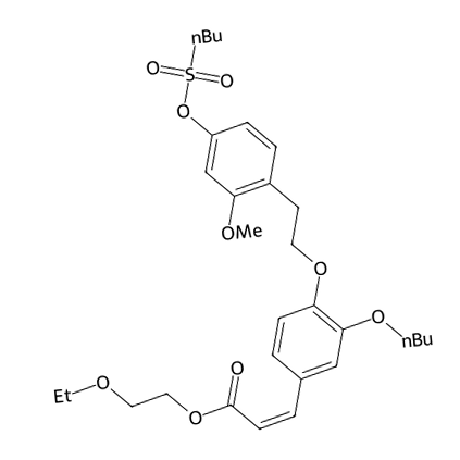 CCCCOc1cc(/C=C\C(=O)OCCOCC)ccc1OCCc1ccc(OS(=O)(=O)CCCC)cc1OC